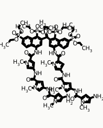 CCOP(=O)(OCC)c1ccc2c(NC(=O)c3cc(NC(=O)c4cc(NC(=O)c5cc(N)cn5C)cn4C)cn3C)cc(C(=O)c3cc(NC(=O)c4cc(NC(=O)c5cc(NC(=O)c6cc(N)cn6C)cn5C)cn4C)c4ccc(P(=O)(OCC)OCC)cc4c3P(=O)(OCC)OCC)c(P(=O)(OCC)OCC)c2c1